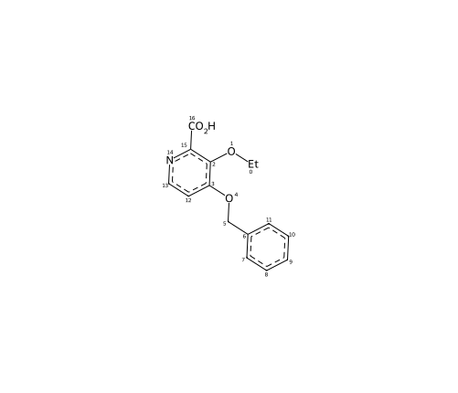 CCOc1c(OCc2ccccc2)ccnc1C(=O)O